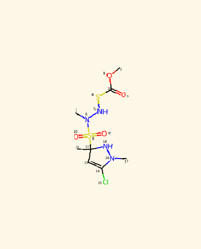 COC(=O)SNN(C)S(=O)(=O)C1(C)C=C(Cl)N(C)N1